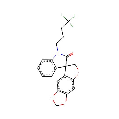 O=C1N(CCCC(F)(F)F)c2ccccc2C12COc1cc3c(cc12)OCO3